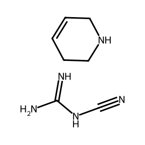 C1=CCNCC1.N#CNC(=N)N